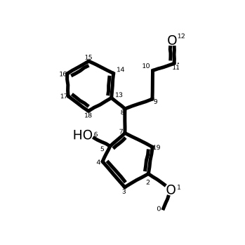 COc1ccc(O)c(C(CC[C]=O)c2ccccc2)c1